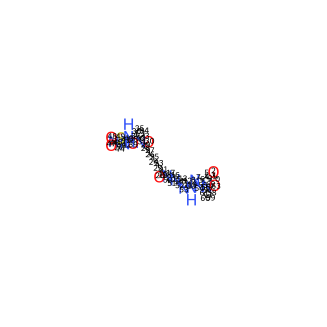 CC(=O)c1c(C)c2cnc(Nc3ccc(N4CCN(C(=O)CCCCCCCCC(=O)Nc5ccccc5C(=O)Nc5nc(C)c([N+](=O)[O-])s5)CC4)cn3)nc2n(C2CCCC2)c1=O